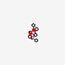 c1ccc(-c2ccc(-c3nccn3-c3c(-n4c(-c5ccccc5)cc5ccccc54)cccc3-n3c(-c4ccccc4)cc4ccccc43)s2)cc1